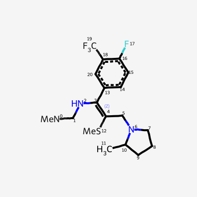 CNCN/C(=C(/CN1CCCC1C)SC)c1ccc(F)c(C(F)(F)F)c1